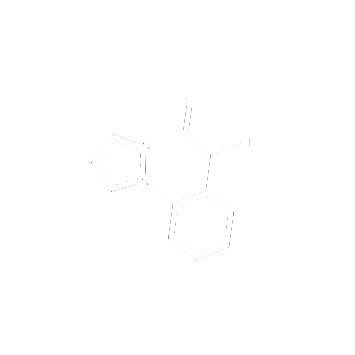 CC(C=O)c1ccccc1-n1cccn1